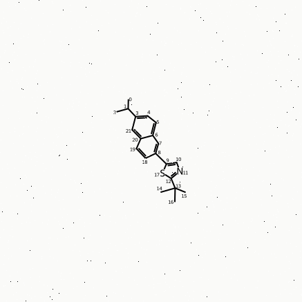 CC(C)c1ccc2cc(-c3cnc(C(C)(C)C)s3)ccc2c1